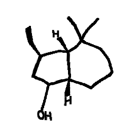 C[C@@H]1CC(O)[C@H]2CCCC(C)(C)[C@@H]12